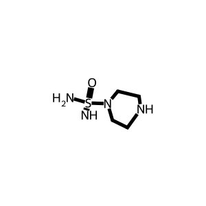 N=S(N)(=O)N1CCNCC1